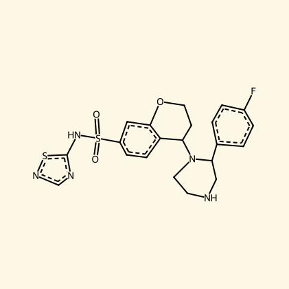 O=S(=O)(Nc1ncns1)c1ccc2c(c1)OCCC2N1CCNCC1c1ccc(F)cc1